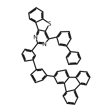 c1ccc(-c2cccc(-c3nc(-c4cccc(-c5cccc(-c6ccc7c8ccccc8c8ccccc8c7c6)c5)c4)nc4c3sc3ccccc34)c2)cc1